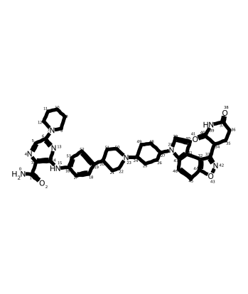 NC(=O)c1ncc(N2CCCCC2)nc1Nc1ccc(C2CCN(C3CCC(n4ccc5c6c(C7CCC(=O)NC7=O)noc6ccc54)CC3)CC2)cc1